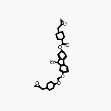 CCC1c2cc(OCOC3CCC(CC4CO4)CC3)ccc2-c2ccc(OC(=O)C3CCC(CC4CO4)CC3)cc21